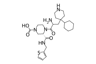 NC(CC1(C2CCCCC2)CCNCC1)C(=O)N1CCN(C(=O)O)C[C@H]1C(=O)NCc1cccs1